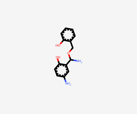 Nc1ccc(O)c(C(N)OCc2ccccc2O)c1